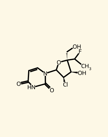 CC(F)[C@]1(CO)OC(n2ccc(=O)[nH]c2=O)[C@H](Cl)[C@@H]1O